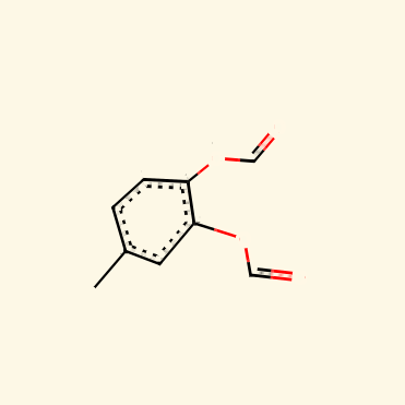 [CH2]c1ccc(OC=O)c(OC=O)c1